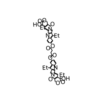 CCc1c2c(nc3ccc(OC(=O)CCC(=O)Oc4ccc5nc6c(c(CC)c5c4)Cn4c-6cc5c(c4=O)COC(=O)[C@]5(O)CC)cc13)-c1cc3c(c(=O)n1C2)COC(=O)[C@]3(O)CC